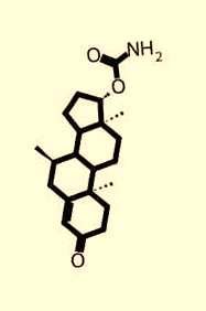 C[C@@H]1CC2=CC(=O)CC[C@]2(C)C2CC[C@@]3(C)C(CC[C@@H]3OC(N)=O)C21